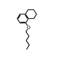 CCCCCOc1cccc2c1CCCC2